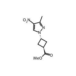 COC(=O)[C@H]1C[C@H](n2cc([N+](=O)[O-])c(C)n2)C1